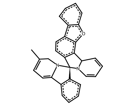 CC1=CC=C2c3ccccc3[C@]3(c4ccc5c(oc6ccccc65)c4C4C=CC=CN43)N2C1